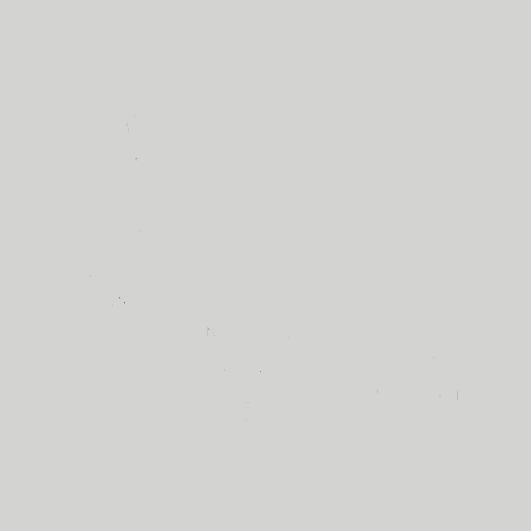 COc1ccc(C2CCN(c3ccn(Cc4ccc(F)cc4)c3)CC2(F)F)cc1